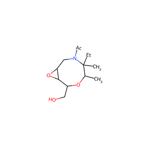 CCC1(C)C(C)OC(CO)C2OC2CN1C(C)=O